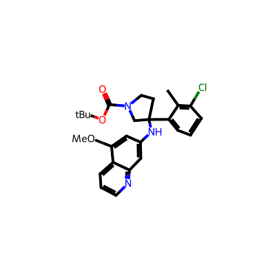 COc1cc(NC2(c3cccc(Cl)c3C)CCN(C(=O)OC(C)(C)C)C2)cc2ncccc12